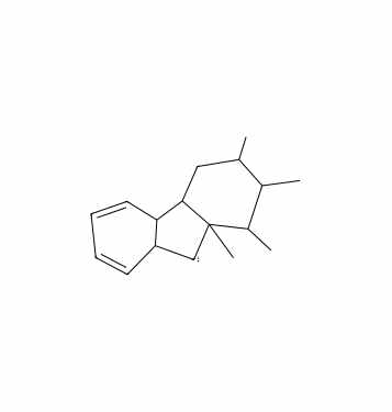 CC1CC2C3C=CC=CC3[C]C2(C)C(C)C1C